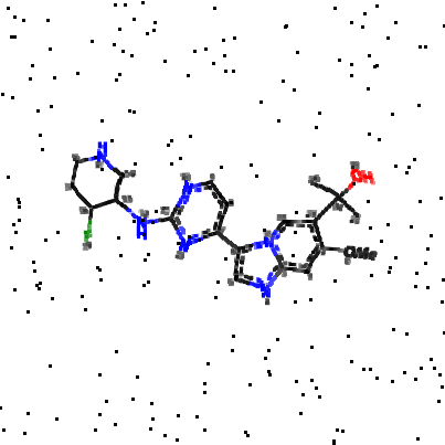 COc1cc2ncc(-c3ccnc(NC4CNCCC4F)n3)n2cc1C(C)(C)O